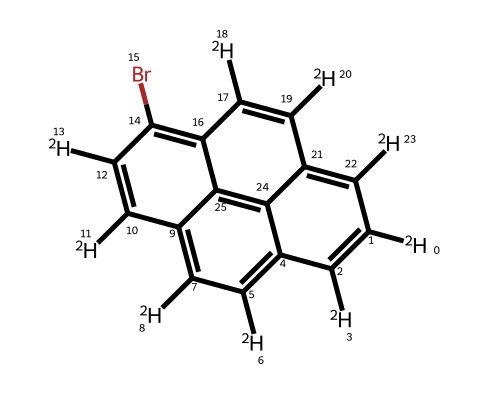 [2H]c1c([2H])c2c([2H])c([2H])c3c([2H])c([2H])c(Br)c4c([2H])c([2H])c(c1[2H])c2c34